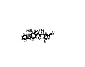 Cn1cc2c(c1C(=O)Nc1cc(F)nc(C#N)c1)C=CC(Cc1ccccc1)NS2=N